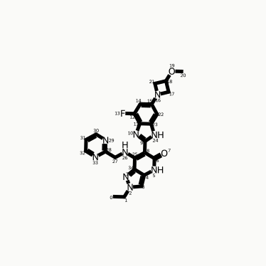 CCn1cc2[nH]c(=O)c(-c3nc4c(F)cc(N5CC(OC)C5)cc4[nH]3)c(NCc3ncccn3)c2n1